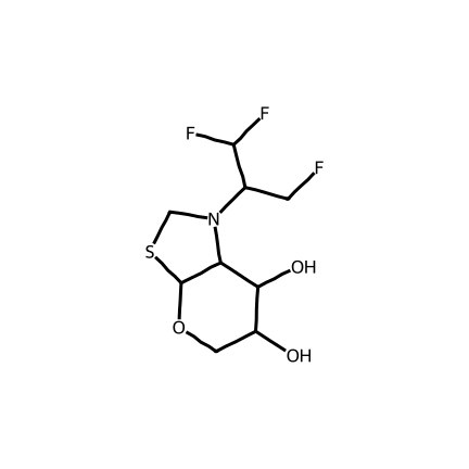 OC1COC2SCN(C(CF)C(F)F)C2C1O